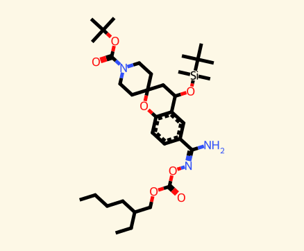 CCCCC(CC)COC(=O)O/N=C(/N)c1ccc2c(c1)C(O[Si](C)(C)C(C)(C)C)CC1(CCN(C(=O)OC(C)(C)C)CC1)O2